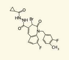 Cc1ccc(CN2C(=O)C(Br)C(C(=O)NNC(=O)C3CC3)=Cc3ccc(F)cc32)cc1F